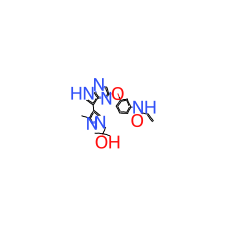 C=CC(=O)Nc1cccc(Oc2cnc3[nH]cc(-c4cn(CC(C)(C)O)nc4C)c3n2)c1